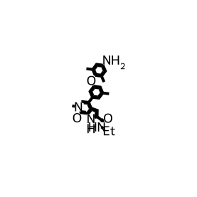 CCNC(=O)c1cc2c(-c3cc(C)cc(Oc4c(C)cc(N)cc4C)c3)cn(C)c(=O)c2[nH]1